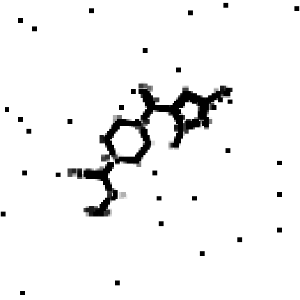 Cn1nc(Br)cc1C(=O)N1CCN(C(=O)OC(C)(C)C)CC1